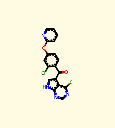 O=C(c1ccc(Oc2ccccn2)cc1Cl)c1c[nH]c2ncnc(Cl)c12